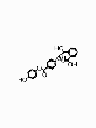 O=C(O)c1ccccc1C(=O)O.O=C(Oc1ccc(O)cc1)c1ccc(O)cc1